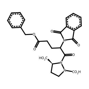 O=C(CCC(C(=O)N1[C@H](C(=O)O)CCN1C(=O)O)N1C(=O)c2ccccc2C1=O)OCc1ccccc1